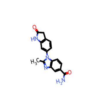 Cc1nc2cc(C(N)=O)ccc2n1-c1ccc2c(c1)NC(=O)C2